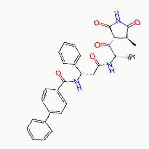 CC(C)[C@H](NC(=O)C[C@H](NC(=O)c1ccc(-c2ccccc2)cc1)c1ccccc1)C(=O)[C@@H]1C(=O)NC(=O)[C@H]1C